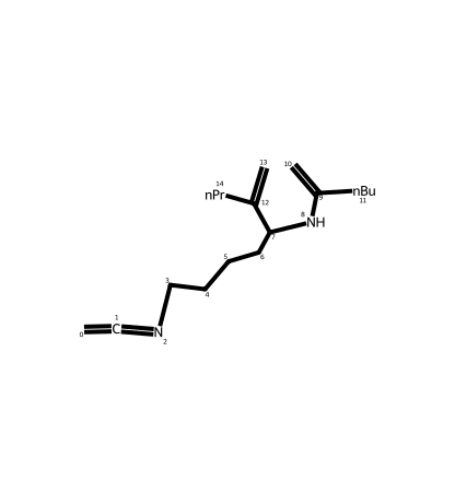 C=C=NCCCCC(NC(=C)CCCC)C(=C)CCC